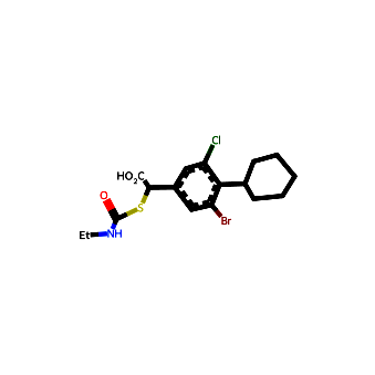 CCNC(=O)SC(C(=O)O)c1cc(Cl)c(C2CCCCC2)c(Br)c1